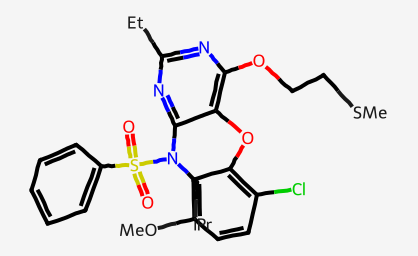 CCc1nc(OCCSC)c(Oc2cc(OC)ccc2Cl)c(N(CC(C)C)S(=O)(=O)c2ccccc2)n1